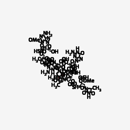 COCCO[C@H]1C(OP(=O)(O)OC[C@]23OC(n4cnc5c(=O)[nH]c(N)nc54)[C@@H](O[C@H]2C)C3OP(=O)(S)OC[C@H]2O[C@@H](n3cc(C)c(=O)[nH]c3=O)CC2OP(=O)(S)OC[C@H]2O[C@@H](n3cc(C)c(=O)[nH]c3=O)CC2OP(=O)(S)OC)[C@@H](COP(=O)(O)OC2[C@@H]3O[C@@H](C)[C@]2(COP(=O)(S)OC2[C@H](OCCOC)C(n4cnc5c(N)ncnc54)O[C@@H]2CO)OC3n2cnc3c(=O)[nH]c(N)nc32)OC1n1cc(C)c(=O)[nH]c1=O